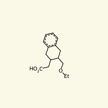 CCOCC1Cc2ccccc2CC1CC(=O)O